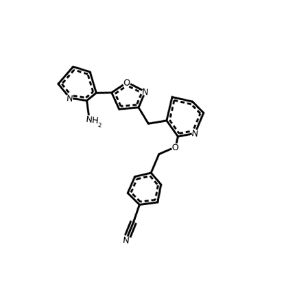 N#Cc1ccc(COc2ncccc2Cc2cc(-c3cccnc3N)on2)cc1